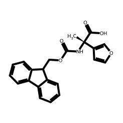 C[C@@](NC(=O)OCC1c2ccccc2-c2ccccc21)(C(=O)O)c1ccoc1